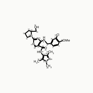 COc1ccc(CNc2nc(N3CCCC3CO)ncc2C(=O)Nc2c(C)nn(C)c2C)cc1Cl